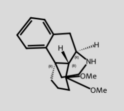 COC1(OC)CCC[C@]23CCN[C@H](Cc4ccccc42)[C@H]13